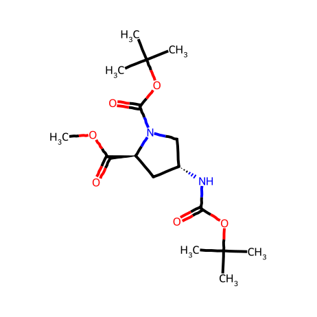 COC(=O)[C@@H]1C[C@@H](NC(=O)OC(C)(C)C)CN1C(=O)OC(C)(C)C